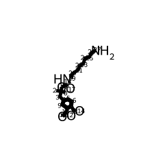 CC(C)(Cc1ccc2c(c1)C(=O)OC2=O)OC(=O)NCCCCCCCCN